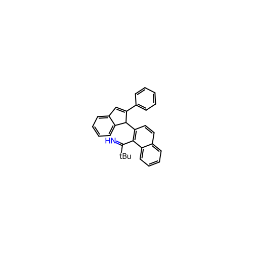 CC(C)(C)C(=N)c1c(C2C(c3ccccc3)=Cc3ccccc32)ccc2ccccc12